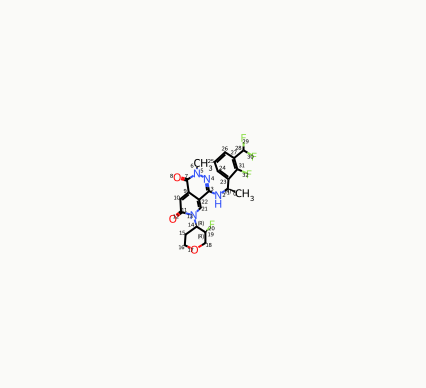 C[C@@H](Nc1nn(C)c(=O)c2cc(=O)n([C@@H]3CCOC[C@@H]3F)cc12)c1cccc(C(F)F)c1F